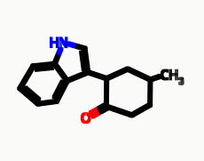 CC1CCC(=O)C(c2c[nH]c3ccccc23)C1